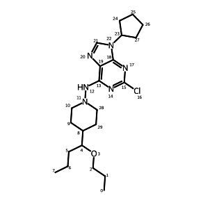 CCCOC(CCC)C1CCN(Nc2nc(Cl)nc3c2ncn3C2CCCC2)CC1